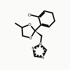 CC1CO[C@@](Cn2cncn2)(C2=CC[CH]C=C2Cl)O1